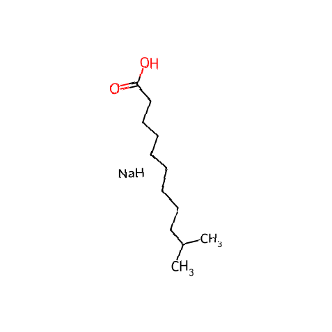 CC(C)CCCCCCCCC(=O)O.[NaH]